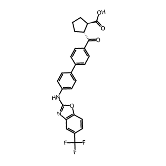 O=C(O)[C@@H]1CCC[C@H]1C(=O)c1ccc(-c2ccc(Nc3nc4cc(C(F)(F)F)ccc4o3)cc2)cc1